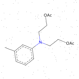 CC(=O)OCCN(CCOC(C)=O)c1cccc(C)c1